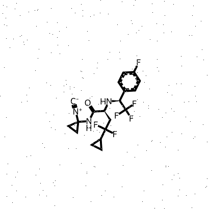 [C-]#[N+]C1(NC(=O)[C@H](CC(F)(F)C2CC2)N[C@@H](c2ccc(F)cc2)C(F)(F)F)CC1